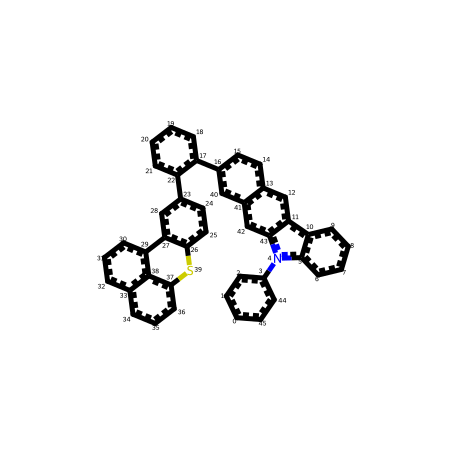 c1ccc(-n2c3ccccc3c3cc4ccc(-c5ccccc5-c5ccc6c(c5)-c5cccc7cccc(c57)S6)cc4cc32)cc1